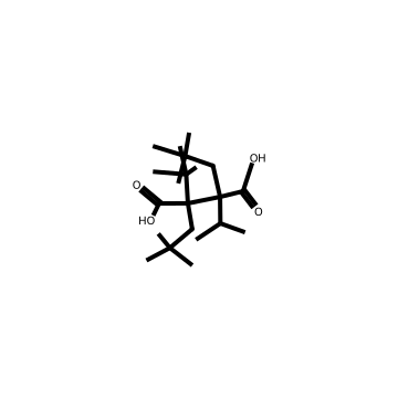 CC(C)C(CC(C)(C)C)(C(=O)O)C(CC(C)(C)C)(C(=O)O)C(C)(C)C